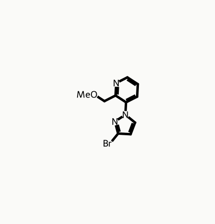 COCc1ncccc1-n1ccc(Br)n1